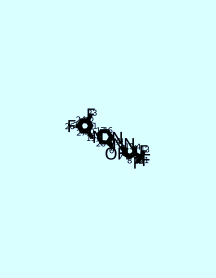 Oc1c2c(nn1-c1ccc(C(F)(F)F)cn1)CCN(Cc1cc(F)cc(F)c1)C2